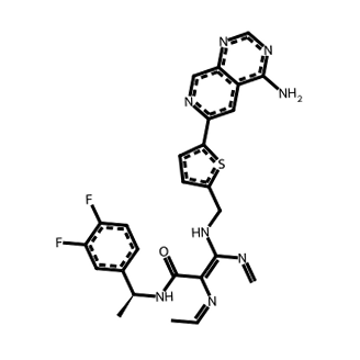 C=N/C(NCc1ccc(-c2cc3c(N)ncnc3cn2)s1)=C(\N=C/C)C(=O)N[C@@H](C)c1ccc(F)c(F)c1